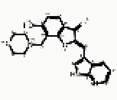 O=C1C(=Cc2c[nH]c3ncccc23)Oc2c1ccc(O)c2CN1CCOCC1